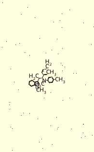 C=C/C=C\C(=C/C)C(C(=C)c1cn(C)c2ccccc12)N(C)c1ccc(C)cc1